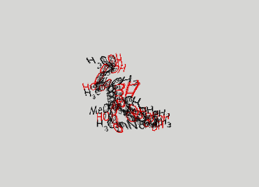 CCCCCCCCCC(=O)O[C@H](C)[C@H](O)C(=O)[C@@H](OC)[C@@H]1Cc2cc3cc(O[C@H]4C[C@@H](O[C@H]5C[C@@H](O)[C@H](O)C(C)O5)[C@H](O)C(C)O4)c(C)c(O)c3c(O)c2C(=O)[C@H]1O[C@H]1C[C@@H](O[C@H]2C[C@@H](O[C@H]3C[C@](C)(O)[C@H](O)C(C)O3)[C@@H](O)C(C)O2)[C@H](O)C(C)O1